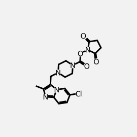 Cc1nc2ccc(Cl)cn2c1CN1CCN(C(=O)ON2C(=O)CCC2=O)CC1